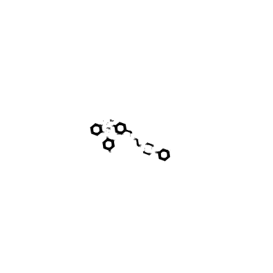 O=C(NCC(=O)N1CCN(c2cccc(O)c2)CC1)c1ccc(S(=O)(=O)Nc2ccccc2Oc2ccc(Cl)cc2Cl)cc1